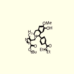 CCN(CC)C(=O)c1ccc(C2c3cc(O)c(OC)cc3CCN2Cc2c(C)ncn2C(=O)OC(C)(C)C)cc1